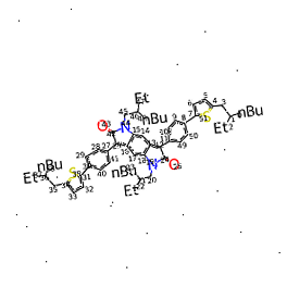 CCCCC(CC)Cc1ccc(-c2ccc(C3=c4cc5c(cc4N(CC(CC)CCCC)C3=O)=C(c3ccc(-c4ccc(CC(CC)CCCC)s4)cc3)C(=O)N5CC(CC)CCCC)cc2)s1